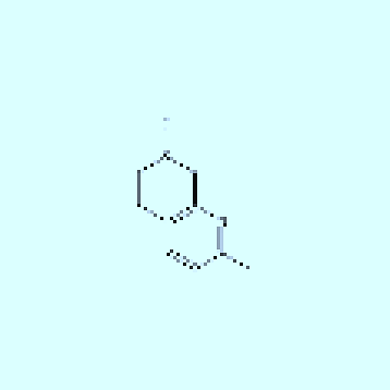 Cc1ccc2c(n1)C[S+]([O-])CC2